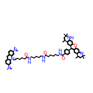 CC1=CC(C)(C)Nc2cc3c(cc21)C(c1ccc(C(=O)NCCCCCC(=O)NCCCCCNC(=O)CCCCC[n+]2c4cc(N(C)C)ccc4cc4ccc(N(C)C)cc42)cc1)=c1cc2c(cc1O3)=NC(C)(C)C=C2C